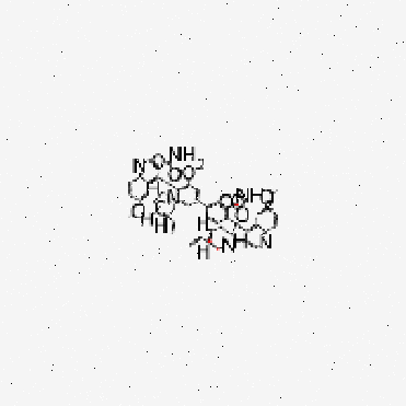 C=C[C@H]1CN2CC[C@H]1C[C@H]2[C@](OC(N)=O)(c1ccc(-c2ccc([C@](OC(N)=O)(c3ccnc4ccc(OC)cc34)[C@@H]3C[C@@H]4CCN3C[C@@H]4C=C)c(OC)c2)cc1OC)c1ccnc2ccc(OC)cc12